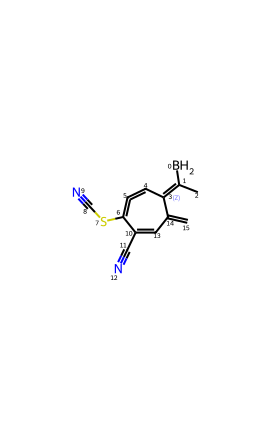 B/C(C)=C1\C=C=C(SC#N)C(C#N)=CC1=C